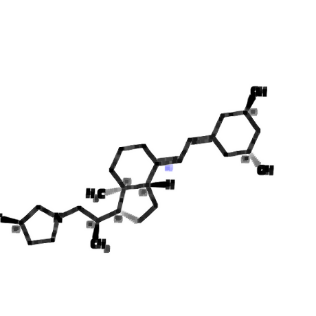 C[C@@H](CN1CC[C@@H](F)C1)[C@H]1CC[C@H]2/C(=C/C=C3C[C@@H](O)C[C@H](O)C3)CCC[C@]12C